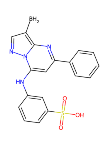 Bc1cnn2c(Nc3cccc(S(=O)(=O)O)c3)cc(-c3ccccc3)nc12